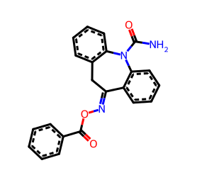 NC(=O)N1c2ccccc2CC(=NOC(=O)c2ccccc2)c2ccccc21